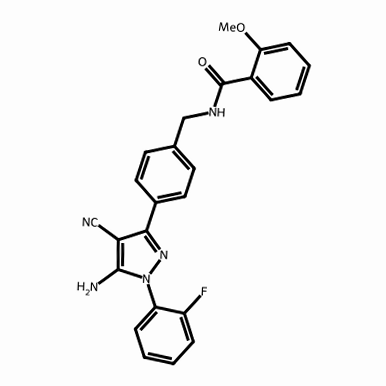 COc1ccccc1C(=O)NCc1ccc(-c2nn(-c3ccccc3F)c(N)c2C#N)cc1